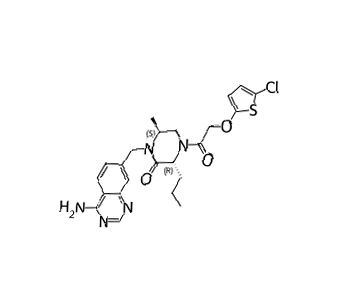 CCC[C@@H]1C(=O)N(Cc2ccc3c(N)ncnc3c2)[C@@H](C)CN1C(=O)COc1ccc(Cl)s1